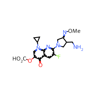 CON=C1CN(c2nc3c(cc2F)c(=O)c(OC(=O)O)cn3C2CC2)CC1CN